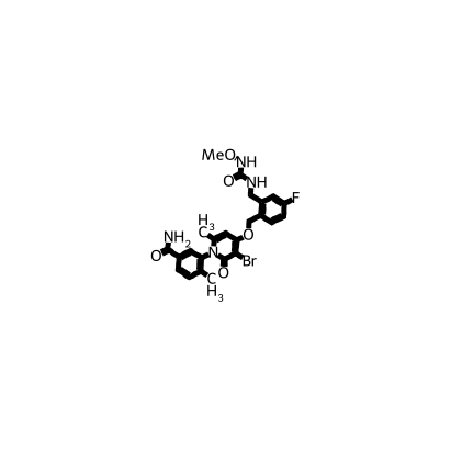 CONC(=O)NCc1cc(F)ccc1COc1cc(C)n(-c2cc(C(N)=O)ccc2C)c(=O)c1Br